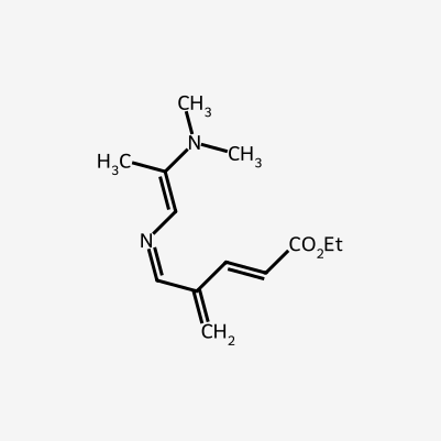 C=C(/C=N\C=C(/C)N(C)C)/C=C/C(=O)OCC